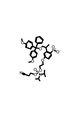 COc1ccc(C(OCC(C)c2cc(OCCOP(=O)(OCCC#N)N(C(C)C)C(C)C)ccc2[N+](=O)[O-])(c2ccccc2)c2ccc(OC)cc2)cc1